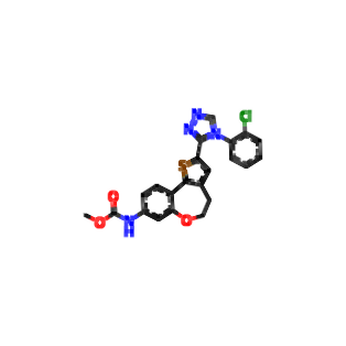 COC(=O)Nc1ccc2c(c1)OCCc1cc(-c3nncn3-c3ccccc3Cl)sc1-2